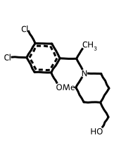 COc1cc(Cl)c(Cl)cc1C(C)N1CCC(CO)CC1